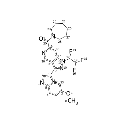 COc1ccc2ncc(-c3nn(C(F)C(F)F)c4cc(C(=O)N5CCCCCC5)ncc34)n2c1